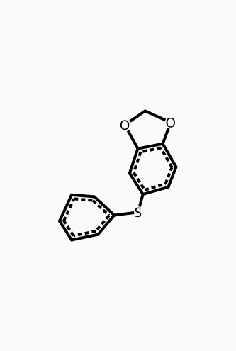 c1ccc(Sc2ccc3c(c2)OCO3)cc1